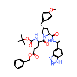 COc1ccc(C[C@@H]2C[C@@H](C(=O)NC(C)c3ccc4[nH]nnc4c3)N(C(=O)C(CCC(=O)OCc3ccccc3)NC(=O)OC(C)(C)C)C2)cc1